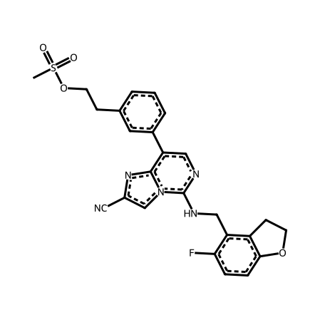 CS(=O)(=O)OCCc1cccc(-c2cnc(NCc3c(F)ccc4c3CCO4)n3cc(C#N)nc23)c1